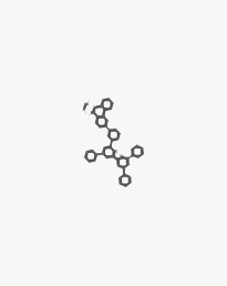 c1ccc(-c2cc(-c3ccccc3)c3oc4c(-c5cccc(-c6ccc7c(c6)c6ccccc6c6nccnc76)c5)cc(-c5ccccc5)cc4c3c2)cc1